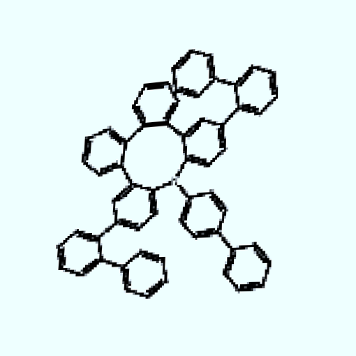 c1ccc(-c2ccc(-n3c4ccc(-c5ccccc5-c5ccccc5)cc4c4ccccc4c4ccccc4c4cc(-c5ccccc5-c5ccccc5)ccc43)cc2)cc1